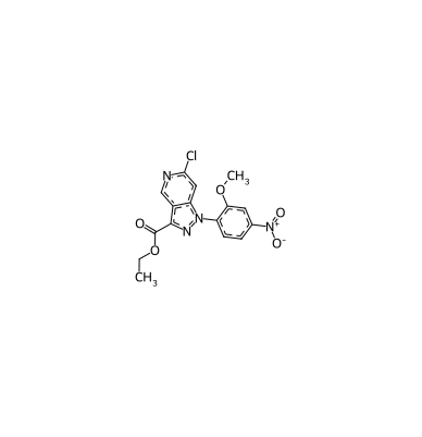 CCOC(=O)c1nn(-c2ccc([N+](=O)[O-])cc2OC)c2cc(Cl)ncc12